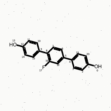 Oc1ccc(-c2ccc(-c3ccc(O)cc3)c(F)c2)cc1